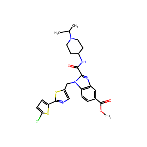 COC(=O)c1ccc2c(c1)nc(C(=O)NC1CCN(C(C)C)CC1)n2Cc1cnc(-c2ccc(Cl)s2)s1